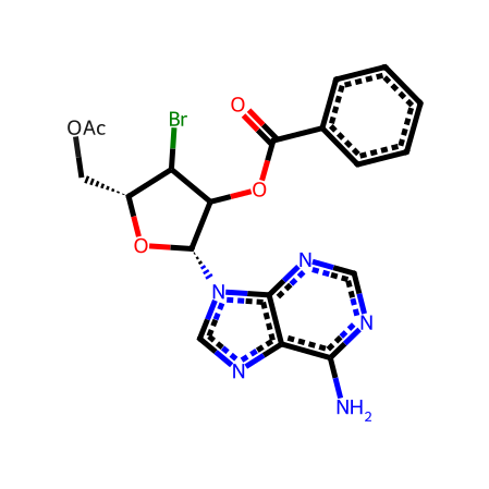 CC(=O)OC[C@H]1O[C@@H](n2cnc3c(N)ncnc32)C(OC(=O)c2ccccc2)C1Br